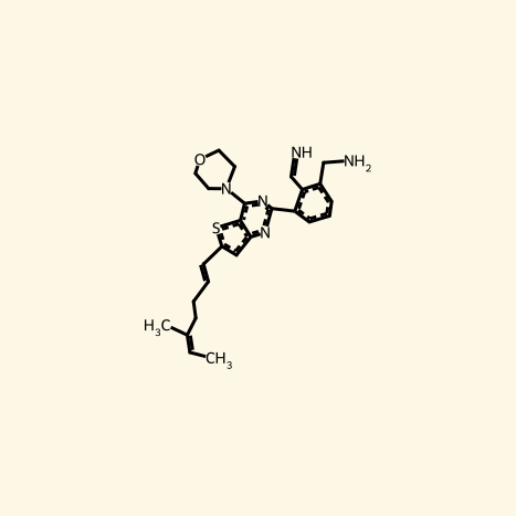 C/C=C(/C)CC/C=C/c1cc2nc(-c3cccc(CN)c3C=N)nc(N3CCOCC3)c2s1